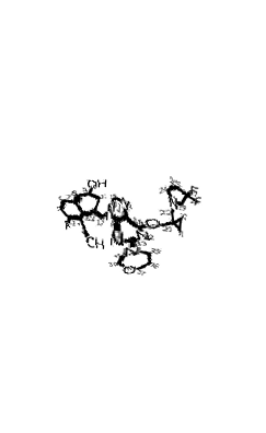 C#Cc1c(F)ccc2cc(O)cc(Cn3cnc4c(OCC5(CN6CCC(F)(F)C6)CC5)nc(N5CCCOCC5)nc43)c12